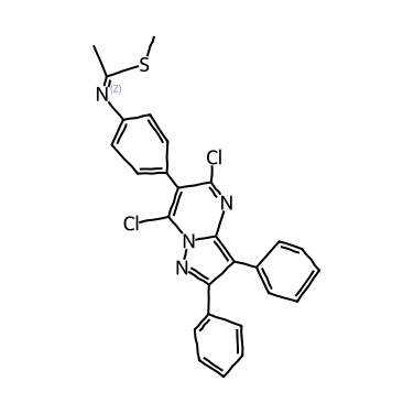 CS/C(C)=N\c1ccc(-c2c(Cl)nc3c(-c4ccccc4)c(-c4ccccc4)nn3c2Cl)cc1